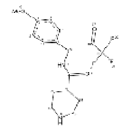 COc1ccc(CNC(=O)C2CCNCC2)cc1.O=CC(F)(F)F